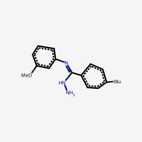 COc1cccc(N=C(NN)c2ccc(C(C)(C)C)cc2)c1